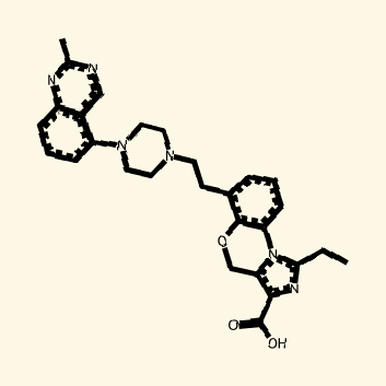 CCc1nc(C(=O)O)c2n1-c1cccc(CCN3CCN(c4cccc5nc(C)ncc45)CC3)c1OC2